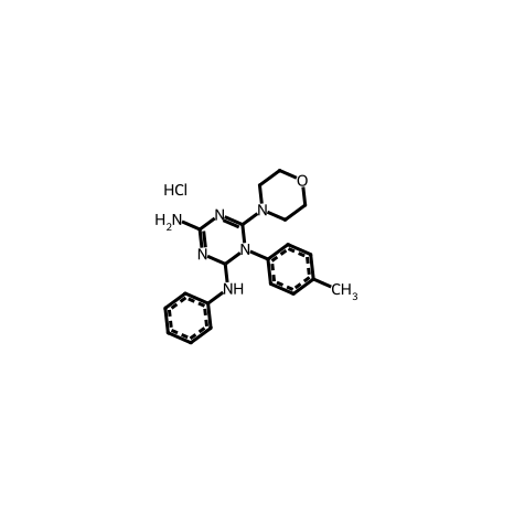 Cc1ccc(N2C(N3CCOCC3)=NC(N)=NC2Nc2ccccc2)cc1.Cl